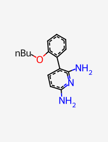 CCCCOc1ccccc1-c1ccc(N)nc1N